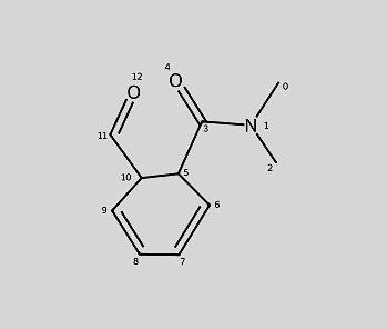 CN(C)C(=O)C1C=CC=CC1C=O